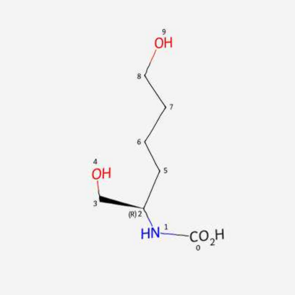 O=C(O)N[C@@H](CO)CCCCO